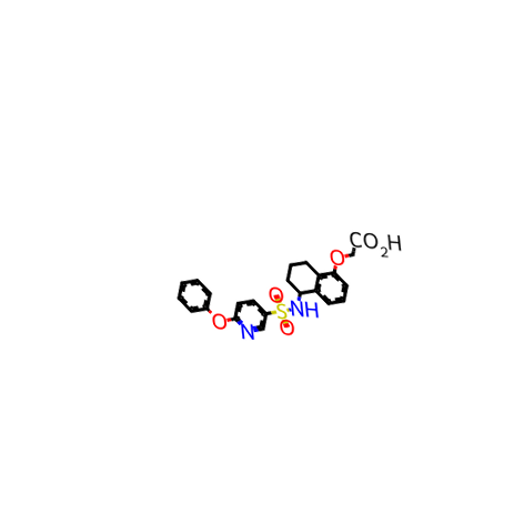 O=C(O)COc1cccc2c1CCCC2NS(=O)(=O)c1ccc(Oc2ccccc2)nc1